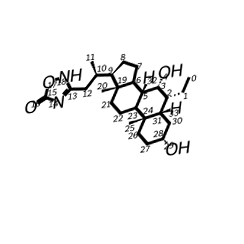 CC[C@H]1[C@@H](O)[C@H]2C3CC[C@H]([C@H](C)Cc4nc(=O)o[nH]4)[C@@]3(C)CCC2[C@@]2(C)CC[C@@H](O)C[C@@H]12